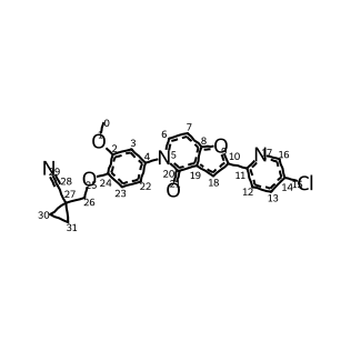 COc1cc(-n2ccc3oc(-c4ccc(Cl)cn4)cc3c2=O)ccc1OCC1(C#N)CC1